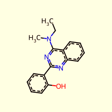 CCN(C)c1nc(-c2ccccc2O)nc2ccccc12